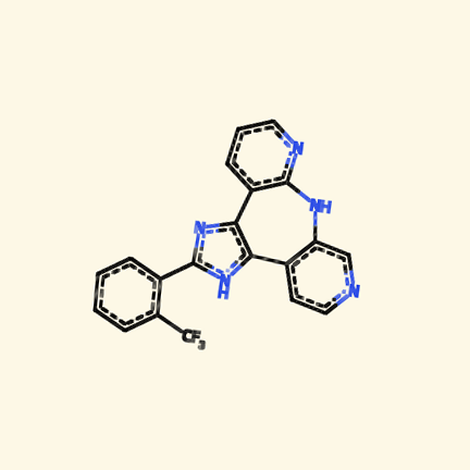 FC(F)(F)c1ccccc1-c1nc2c([nH]1)-c1ccncc1Nc1ncccc1-2